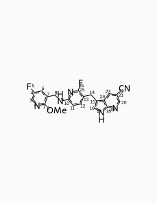 COc1ncc(F)cc1CNc1ccc(Cc2c[nH]c3ncc(C#N)cc23)c(F)n1